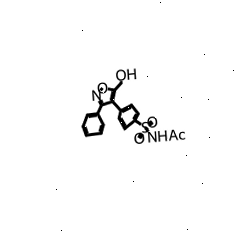 CC(=O)NS(=O)(=O)c1ccc(-c2c(-c3ccccc3)noc2CO)cc1